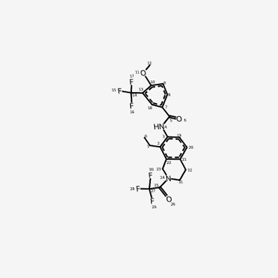 CCc1c(NC(=O)c2ccc(OC)c(C(F)(F)F)c2)ccc2c1CN(C(=O)C(F)(F)F)CC2